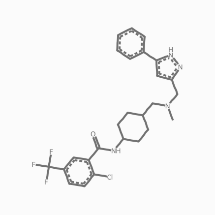 CN(Cc1cc(-c2ccccc2)[nH]n1)CC1CCC(NC(=O)c2cc(C(F)(F)F)ccc2Cl)CC1